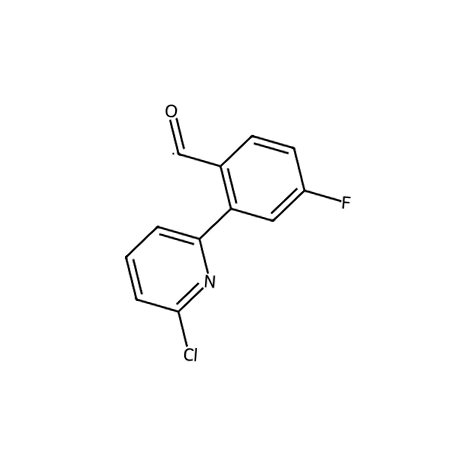 O=[C]c1ccc(F)cc1-c1cccc(Cl)n1